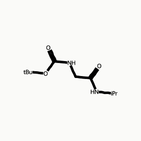 CC(C)NC(=O)CNC(=O)OC(C)(C)C